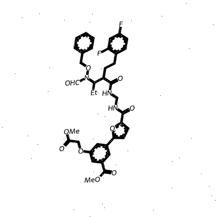 CCC(C(CCc1ccc(F)cc1F)C(=O)NCNC(=O)c1ccc(-c2cc(OCC(=O)OC)cc(C(=O)OC)c2)o1)N(C=O)OCc1ccccc1